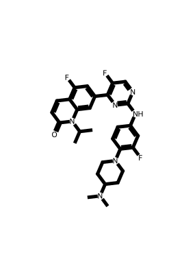 CC(C)n1c(=O)ccc2c(F)cc(-c3nc(Nc4ccc(N5CCC(N(C)C)CC5)c(F)c4)ncc3F)cc21